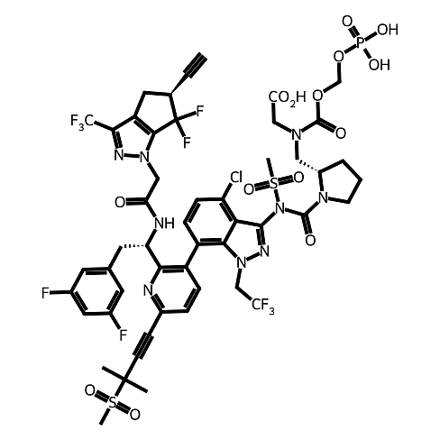 C#C[C@@H]1Cc2c(C(F)(F)F)nn(CC(=O)N[C@@H](Cc3cc(F)cc(F)c3)c3nc(C#CC(C)(C)S(C)(=O)=O)ccc3-c3ccc(Cl)c4c(N(C(=O)N5CCC[C@H]5CN(CC(=O)O)C(=O)OCOP(=O)(O)O)S(C)(=O)=O)nn(CC(F)(F)F)c34)c2C1(F)F